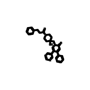 O=C(CCc1ccccc1)N1CCC(O)(Cn2cc(-c3cncnc3)c(-c3ccccc3)cc2=O)CC1